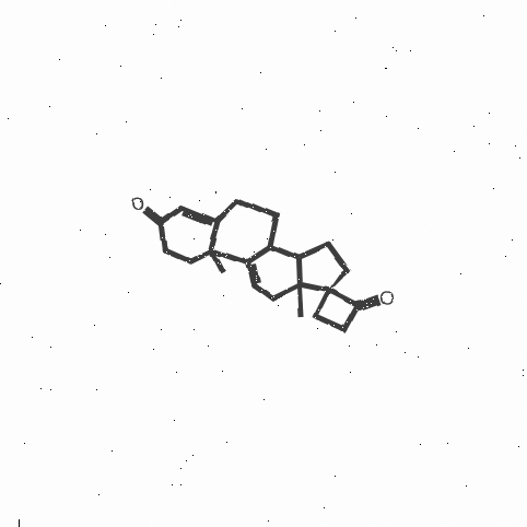 CC12CCC(=O)C=C1CCC1C2=CCC2(C)C1CC[C@@]21CCC1=O